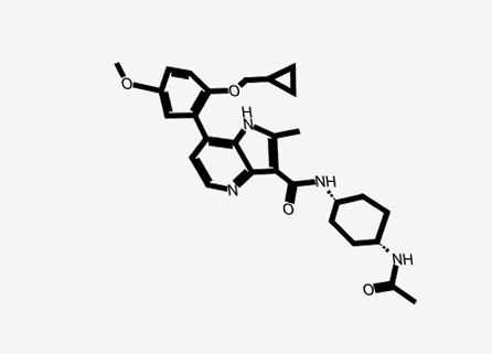 COc1ccc(OCC2CC2)c(-c2ccnc3c(C(=O)N[C@H]4CC[C@@H](NC(C)=O)CC4)c(C)[nH]c23)c1